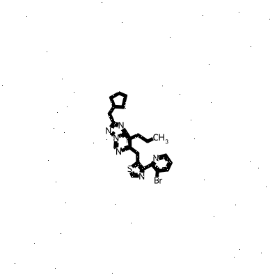 CCCc1c(Cc2scnc2-c2ncccc2Br)ncn2nc(CC3CCCC3)nc12